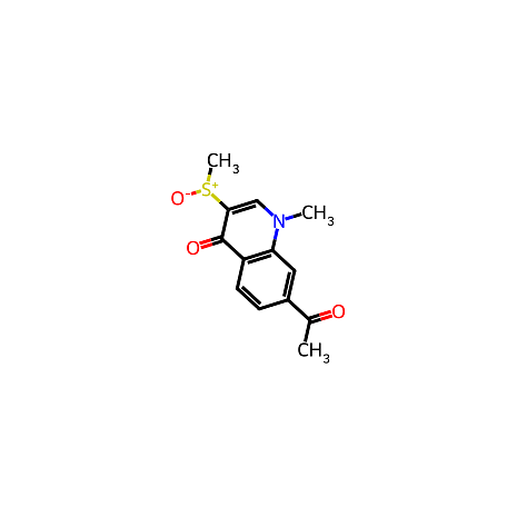 CC(=O)c1ccc2c(=O)c([S+](C)[O-])cn(C)c2c1